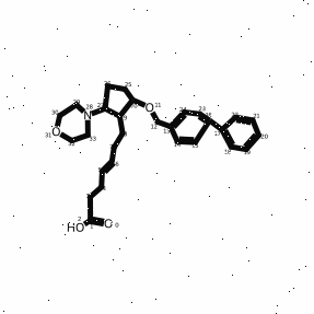 O=C(O)CCC=CCCC1C(OCc2ccc(-c3ccccc3)cc2)CCC1N1CCOCC1